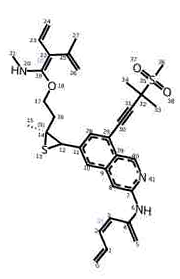 C=C/C=C\C(=C)Nc1cc2cc(C3S[C@@]3(C)CCO/C(NC)=C(/C=C)C(=C)C)cc(C#CC(C)(C)S(C)(=O)=O)c2cn1